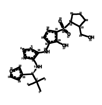 CC(C)(C)[C@@H](Nc1nsnc1Nc1csc(S(=O)(=O)N2CCCC2CO)c1O)c1ccoc1